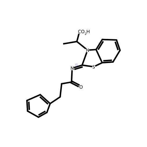 CC(C(=O)O)n1/c(=N/C(=O)CCc2ccccc2)sc2ccccc21